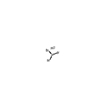 Cl.[Br][Al]([Br])[Br]